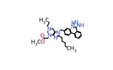 CCCCCc1nc2c(n1Cc1ccc(-c3ccccc3-c3nnn[nH]3)cc1)CN(CCC)CN2CC(=O)OC